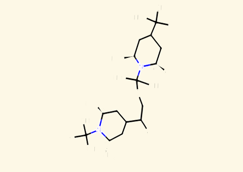 CC(CCC(C)(C)N1[C@H](C)CC(C(C)(C)C)C[C@@H]1C)C1C[C@H](C)N(C(C)(C)C)[C@@H](C)C1